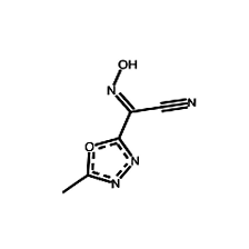 Cc1nnc(C(C#N)=NO)o1